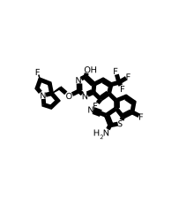 N#Cc1c(N)sc2c(F)ccc(-c3c(C(F)(F)F)cc4c(O)nc(OC[C@@]56CCCN5C[C@H](F)C6)nc4c3F)c12